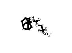 O=C(NC12CC3CC(C1)C(=O)C(C3)C2)OCC(F)(F)S(=O)(=O)O